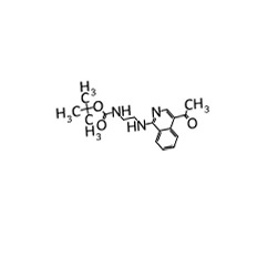 CC(=O)c1cnc(NCCNC(=O)OC(C)(C)C)c2ccccc12